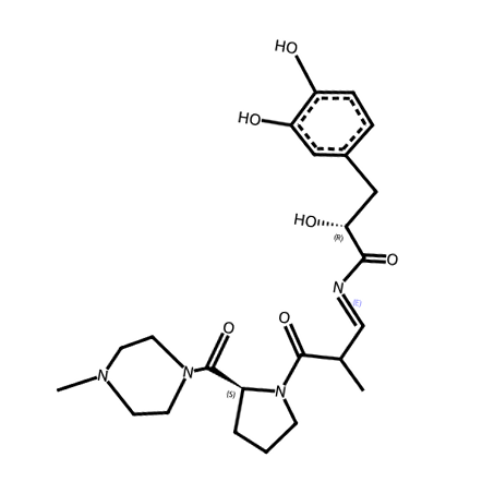 CC(/C=N/C(=O)[C@H](O)Cc1ccc(O)c(O)c1)C(=O)N1CCC[C@H]1C(=O)N1CCN(C)CC1